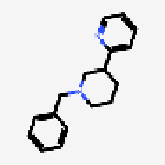 c1ccc(CN2CCCC(c3ccccn3)C2)cc1